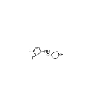 Fc1ccc(NOC2CCNCC2)cc1F